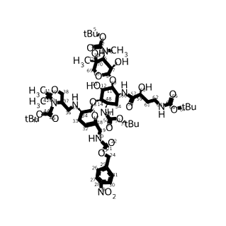 CN(C(=O)OC(C)(C)C)[C@@H]1[C@@H](O)[C@@H](O[C@@H]2[C@@H](O)[C@H](O[C@H]3OC(CNC(=O)OCc4ccc([N+](=O)[O-])cc4)=CC[C@H]3NCC3COC(C)(C)N3C(=O)OC(C)(C)C)[C@@H](NC(=O)OC(C)(C)C)C[C@H]2NC(=O)[C@@H](O)CCNC(=O)OC(C)(C)C)OC[C@]1(C)O